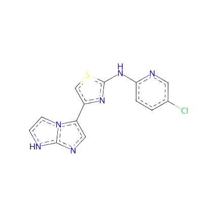 Clc1ccc(Nc2nc(-c3cnc4[nH]ccn34)cs2)nc1